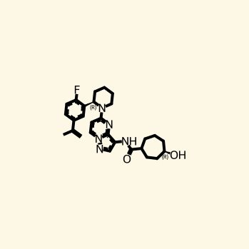 C=C(C)c1ccc(F)c([C@H]2CCCCN2c2ccn3ncc(NC(=O)C4CCC[C@@H](O)CC4)c3n2)c1